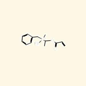 C=CC(=O)OC(C)[N+](C)(CC)Cc1ccccc1